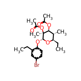 CCc1cc(Br)ccc1O[C@H]1O[C@H](CC)[C@@H](C)[C@H](OC(C)=O)[C@]1(C)OC(C)=O